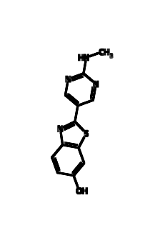 CNc1ncc(-c2nc3ccc(O)cc3s2)cn1